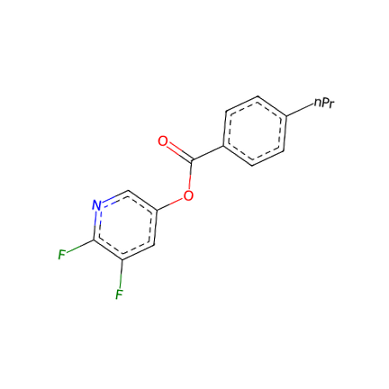 CCCc1ccc(C(=O)Oc2cnc(F)c(F)c2)cc1